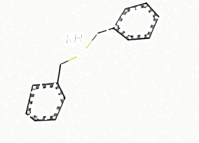 [KH].c1ccc(CSCc2ccccc2)cc1